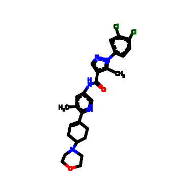 Cc1cc(NC(=O)c2cnn(-c3ccc(Cl)c(Cl)c3)c2C)cnc1C1=CCC(N2CCOCC2)CC1